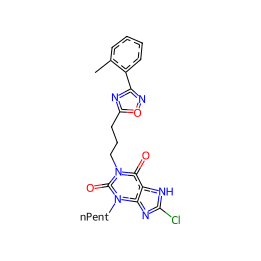 CCCCCn1c(=O)n(CCCc2nc(-c3ccccc3C)no2)c(=O)c2[nH]c(Cl)nc21